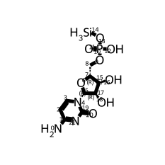 Nc1ccn([C@@H]2O[C@H](COP(=O)(O)O[SiH3])[C@@H](O)[C@H]2O)c(=O)n1